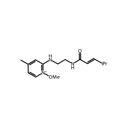 CO[n+]1ccc(C)cc1NCCNC(=O)/C=C/C(C)C